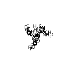 C=C(C)\N=C/C(=N/C=C(\N)N1CCN(S(=O)(=O)c2ccc(OC(F)(F)F)cc2)[C@@H](C(=O)NCc2ccc(OC(F)(F)F)cc2)C1)C(=C)N